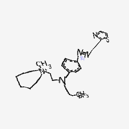 CCN(CC[N+]1(C)CCCCC1)c1ccc(/N=N/c2nccs2)cc1.[Br-]